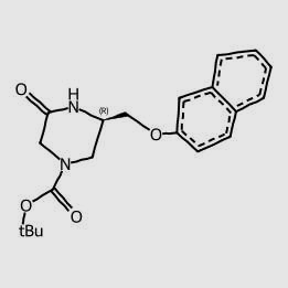 CC(C)(C)OC(=O)N1CC(=O)N[C@@H](COc2ccc3ccccc3c2)C1